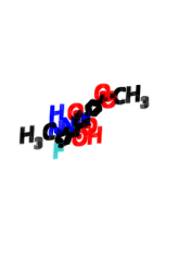 CCOC(=O)c1ccc(N2C(=O)c3nc4c(NC)cc(F)cc4c(O)c3C2=O)cc1